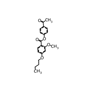 CCCCOc1ccc(C(=O)Oc2ccc(C(C)=O)cc2)c(OC)c1